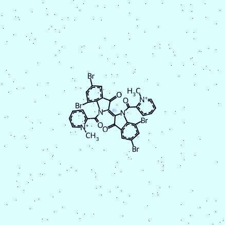 C[n+]1ccccc1C(=O)N1/C(=C2\C(=O)c3cc(Br)cc(Br)c3N2C(=O)c2cccc[n+]2C)C(=O)c2cc(Br)cc(Br)c21